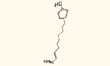 CCCCCCC=CCCCCCCCc1ccc(O)cc1